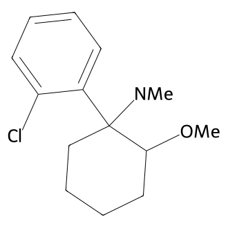 CNC1(c2ccccc2Cl)CCCCC1OC